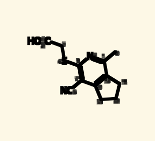 Cc1nc(SCC(=O)O)c(C#N)c2c1CCC2